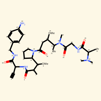 C#CC(NC(=O)C(C)C(OC)C1CCCN1C(=O)CC(OC)C(C(C)CC)N(C)C(=O)CNC(=O)C(C(C)C)N(C)C)C(=O)NCc1ccc(N)cc1